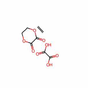 C=C.O=C(O)C(=O)O.O=C1OCCOC1=O